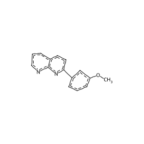 COc1cccc(-c2ccc3cccnc3n2)c1